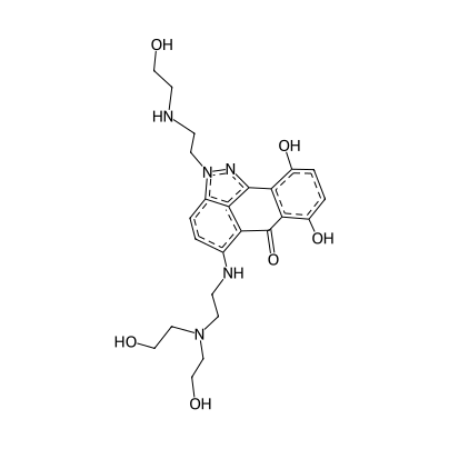 O=C1c2c(O)ccc(O)c2-c2nn(CCNCCO)c3ccc(NCCN(CCO)CCO)c1c23